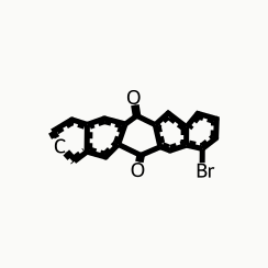 O=C1c2cc3ccccc3cc2C(=O)c2cc3c(Br)cccc3cc21